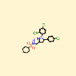 O=S(=O)(NCC1=NN(c2ccc(Cl)cc2Cl)C(c2ccc(Cl)cc2)C1)C1CCCCC1